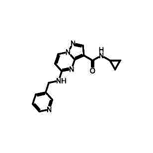 O=C(NC1CC1)c1cnn2ccc(NCc3cccnc3)nc12